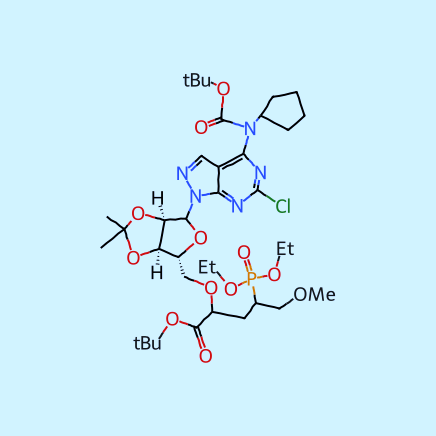 CCOP(=O)(OCC)C(COC)CC(OC[C@H]1OC(n2ncc3c(N(C(=O)OC(C)(C)C)C4CCCC4)nc(Cl)nc32)[C@@H]2OC(C)(C)O[C@H]12)C(=O)OC(C)(C)C